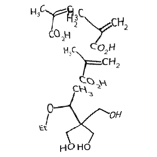 C=C(C)C(=O)O.C=C(C)C(=O)O.C=C(C)C(=O)O.CCOC(C)C(CO)(CO)CO